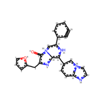 O=c1c(Cc2ccco2)nc2c(-c3ccc4nccn4c3)[nH]c(-c3c#cccc3)cn1-2